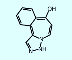 OC1=c2ccccc2=C2C=NNN2C=C1